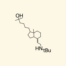 CC(C)(O)CCCCC1CCC2/C(=C/CNC(C)(C)C)CCCC12C